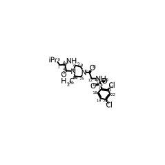 CC(C)C[C@H](N)C(=O)N1CCN(C(=O)CNS(=O)(=O)c2ccc(Cl)cc2Cl)C[C@@H]1C